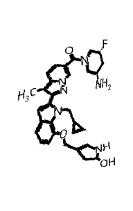 Cc1c(-c2cc3cccc(OCC4CNC(O)C4)c3n2CC2CC2)nn2cc(C(=O)N3C[C@H](N)C[C@@H](F)C3)ccc12